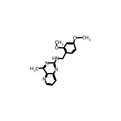 COc1ccc(CNc2nc(C)c3ncccc3n2)c(OC)c1